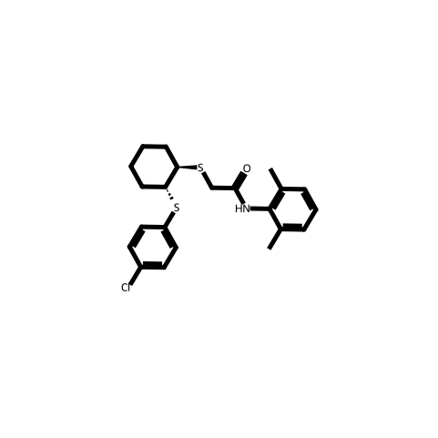 Cc1cccc(C)c1NC(=O)CS[C@@H]1CCCC[C@H]1Sc1ccc(Cl)cc1